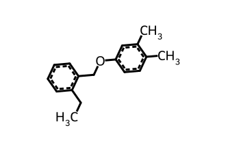 CCc1ccccc1COc1ccc(C)c(C)c1